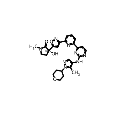 Cc1c(Nc2nccc(-c3cccc(-c4cc([C@@]5(O)CCN(C)C5=O)on4)n3)n2)cnn1C1CCOCC1